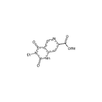 CCn1c(=O)[nH]c2cc(C(=O)OC)ncc2c1=O